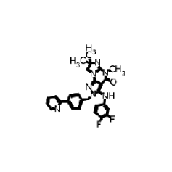 CN1C(=O)c2c(nn(Cc3ccc(-c4ccccn4)cc3)c2Nc2ccc(F)c(F)c2)N2CC(C)(C)N=C12